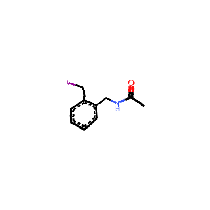 CC(=O)NCc1ccccc1CI